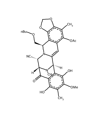 CCCCOC[C@H]1c2c(c(OC(C)=O)c(C)c3c2OCO3)C=C2[C@H]3c4c(O)c(OC)c(C)c(O)c4C(=O)[C@H]([C@H](C#N)N21)N3C